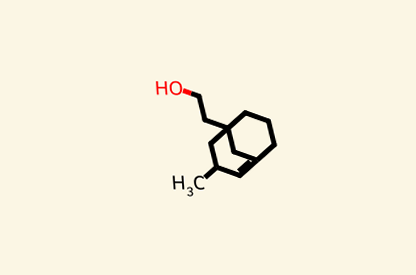 CC1C=C2CCCC(CCO)(C2)C1